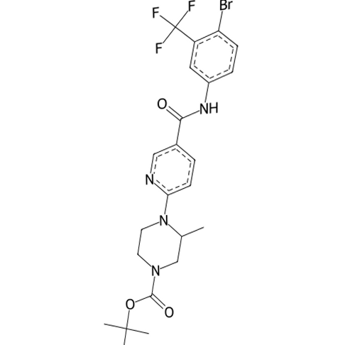 CC1CN(C(=O)OC(C)(C)C)CCN1c1ccc(C(=O)Nc2ccc(Br)c(C(F)(F)F)c2)cn1